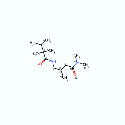 CC(C)C(C)(C)C(=O)NC[C@H](C)CC(=O)N(C)C